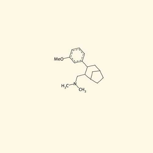 COc1cccc(C2CC3CCC(C3)C2CN(C)C)c1